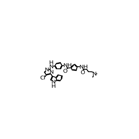 CN(C)CCCC(=O)Nc1ccc(C(=O)Nc2ccc(Nc3ncc(Cl)c(-c4c[nH]c5ccccc45)n3)cc2)cc1